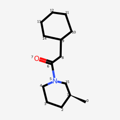 C[C@H]1CCCN(C(=O)CC2CCCCC2)C1